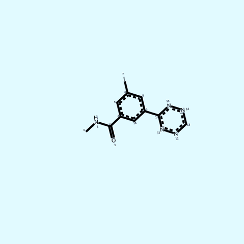 CNC(=O)c1cc(I)cc(-c2nncnn2)c1